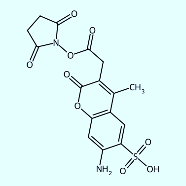 Cc1c(CC(=O)ON2C(=O)CCC2=O)c(=O)oc2cc(N)c(S(=O)(=O)O)cc12